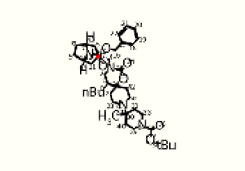 CCCC[C@H]1CN(C[C@H]2C[C@H]3CC[C@@H](C2)N3C(=O)OCc2ccccc2)C(=O)OC12CCN(C1(C)CCN(C(=O)OC(C)(C)C)CC1)CC2